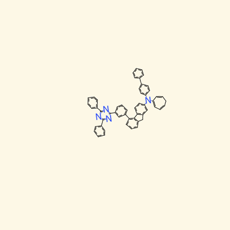 C1=CCC=CC(N(c2ccc(-c3ccccc3)cc2)c2ccc3c(c2)Cc2cccc(-c4cccc(-c5nc(-c6ccccc6)nc(-c6ccccc6)n5)c4)c2-3)=C1